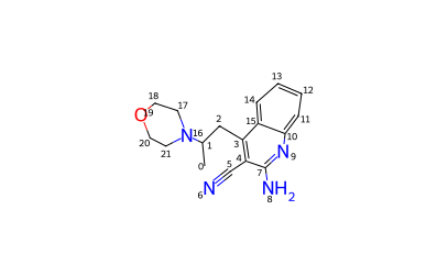 CC(Cc1c(C#N)c(N)nc2ccccc12)N1CCOCC1